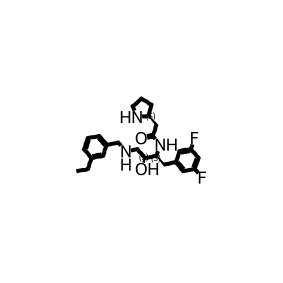 CCc1cccc(CNC[C@H](O)[C@H](Cc2cc(F)cc(F)c2)NC(=O)C[C@@H]2CCCN2)c1